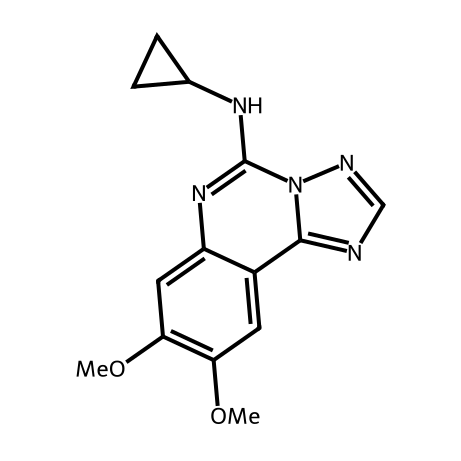 COc1cc2nc(NC3CC3)n3ncnc3c2cc1OC